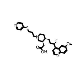 COc1ccc2nccc([C@H](F)CC[C@@H]3CCN(CCCSc4ccncc4)C[C@@H]3CC(=O)O)c2c1